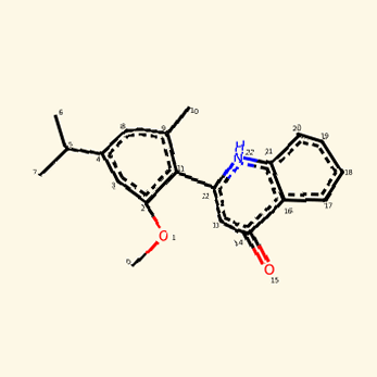 COc1cc(C(C)C)cc(C)c1-c1cc(=O)c2ccccc2[nH]1